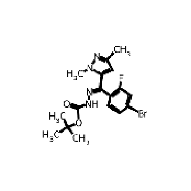 Cc1cc(/C(=N/NC(=O)OC(C)(C)C)c2ccc(Br)cc2F)n(C)n1